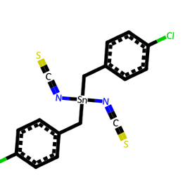 S=C=[N][Sn]([CH2]c1ccc(Cl)cc1)([CH2]c1ccc(Cl)cc1)[N]=C=S